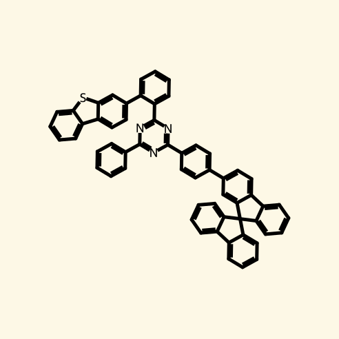 c1ccc(-c2nc(-c3ccc(-c4ccc5c(c4)C4(c6ccccc6-c6ccccc64)c4ccccc4-5)cc3)nc(-c3ccccc3-c3ccc4c(c3)sc3ccccc34)n2)cc1